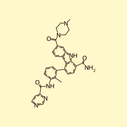 Cc1c(NC(=O)c2ccncn2)cccc1-c1ccc(C(N)=O)c2[nH]c3cc(C(=O)N4CCN(C)CC4)ccc3c12